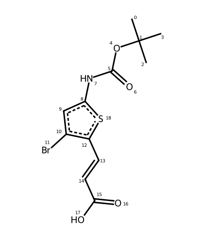 CC(C)(C)OC(=O)Nc1cc(Br)c(C=CC(=O)O)s1